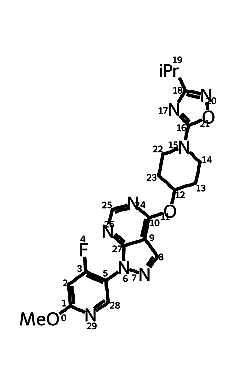 COc1cc(F)c(-n2ncc3c(OC4CCN(c5nc(C(C)C)no5)CC4)ncnc32)cn1